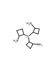 NC1CC[CH]1[Zr]([CH]1CCC1N)[CH]1CCC1N